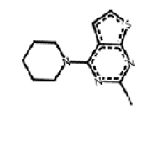 Ic1nc(N2CCCCC2)c2ccsc2n1